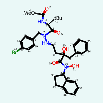 COC(=O)N[C@H](C(=O)N(Cc1ccc(Br)cc1)NCCC(O)(Cc1ccccc1)C(=O)N(O)C1CCc2ccccc21)C(C)(C)C